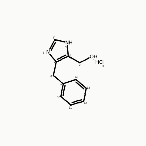 Cl.OCc1[nH]cnc1Cc1ccccc1